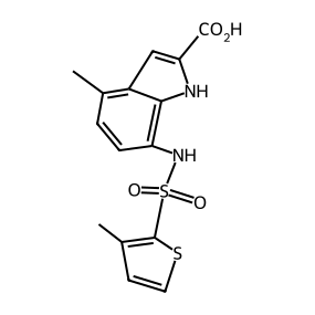 Cc1ccsc1S(=O)(=O)Nc1ccc(C)c2cc(C(=O)O)[nH]c12